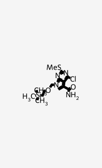 CSc1nc(Cl)c2c(C(N)=O)cn(COCC[Si](C)(C)C)c2n1